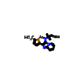 CC(=O)N(c1c(-c2ccc(C(=O)O)s2)nc2ccccn12)C(C)(C)CC(C)(C)C